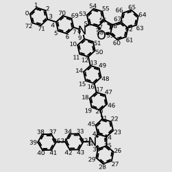 c1ccc(-c2ccc(N(c3ccc(-c4ccc(-c5ccc(-c6ccc7c8ccccc8n(-c8ccc(-c9ccccc9)cc8)c7c6)cc5)cc4)cc3)c3cccc4c3oc3ccc5ccccc5c34)cc2)cc1